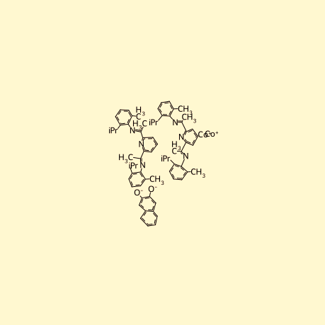 CC(=Nc1c(C)cccc1C(C)C)c1cccc(C(C)=Nc2c(C)cccc2C(C)C)n1.CC(=Nc1c(C)cccc1C(C)C)c1cccc(C(C)=Nc2c(C)cccc2C(C)C)n1.[Co+].[Co+].[O-]c1cc2ccccc2cc1[O-]